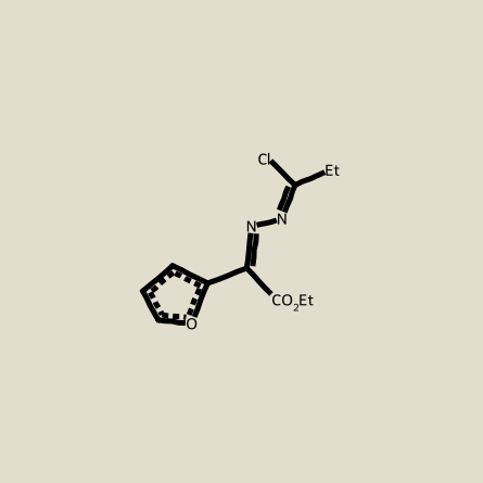 CCOC(=O)C(=NN=C(Cl)CC)c1ccco1